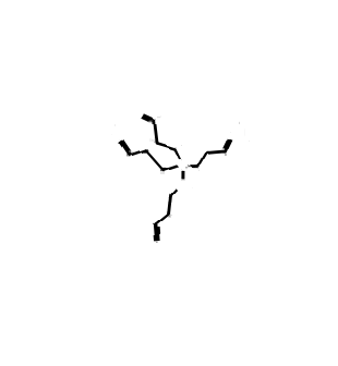 C=CCCO[Si](CCC=C)(CCC=C)CCC=C